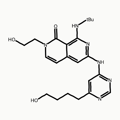 CC(C)(C)Nc1nc(Nc2cc(CCCCO)ncn2)cc2ccn(CCO)c(=O)c12